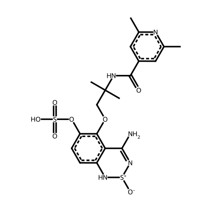 Cc1cc(C(=O)NC(C)(C)COc2c(OS(=O)(=O)O)ccc3c2C(N)=N[S+]([O-])N3)cc(C)n1